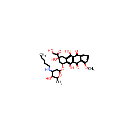 CCCCCNC1CC(O[C@H]2C[C@](O)(C(=O)CO)Cc3c(O)c4c(c(O)c32)C(=O)c2c(OC)cccc2C4=O)OC(C)C1O